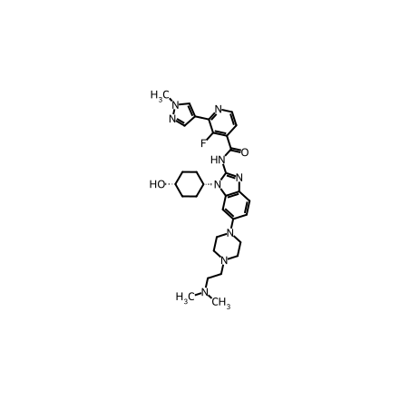 CN(C)CCN1CCN(c2ccc3nc(NC(=O)c4ccnc(-c5cnn(C)c5)c4F)n([C@H]4CC[C@@H](O)CC4)c3c2)CC1